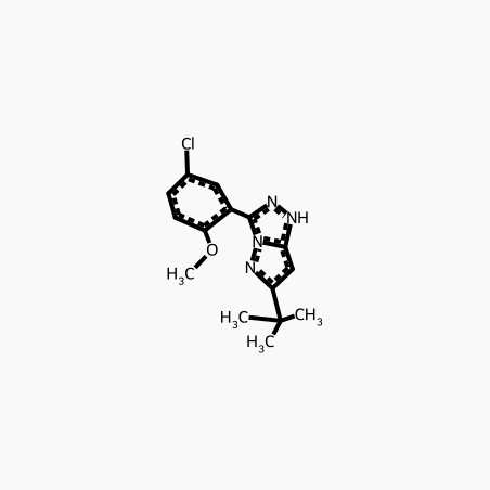 COc1ccc(Cl)cc1-c1n[nH]c2cc(C(C)(C)C)nn12